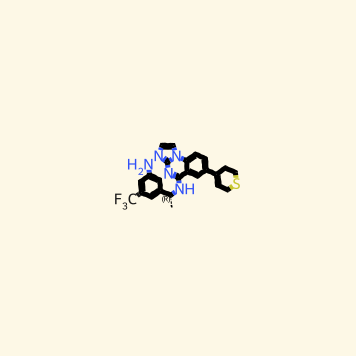 C[C@@H](Nc1nc2nccn2c2ccc(C3=CCSCC3)cc12)c1cc(N)cc(C(F)(F)F)c1